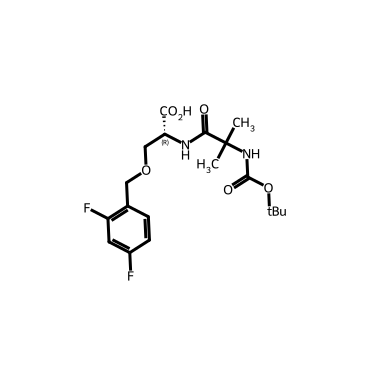 CC(C)(C)OC(=O)NC(C)(C)C(=O)N[C@H](COCc1ccc(F)cc1F)C(=O)O